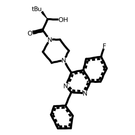 CC(C)(C)[C@@H](O)C(=O)N1CCN(c2nc(-c3ccccc3)nc3ccc(F)cc23)CC1